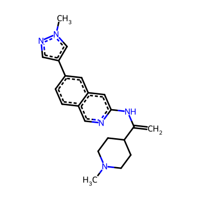 C=C(Nc1cc2cc(-c3cnn(C)c3)ccc2cn1)C1CCN(C)CC1